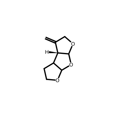 C=C1COC2OC3OCCC3[C@H]12